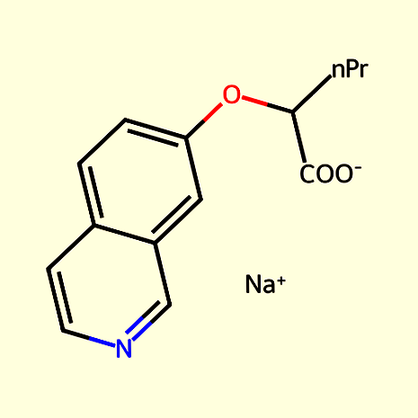 CCCC(Oc1ccc2ccncc2c1)C(=O)[O-].[Na+]